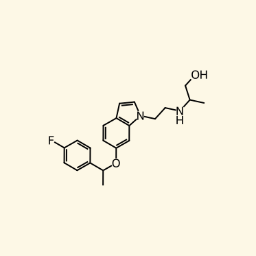 CC(CO)NCCn1ccc2ccc(OC(C)c3ccc(F)cc3)cc21